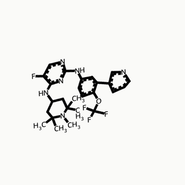 CN1C(C)(C)CC(Nc2nc(Nc3ccc(OC(F)(F)F)c(-c4cccnc4)c3)ncc2F)CC1(C)C